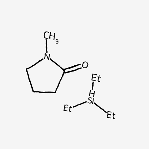 CC[SiH](CC)CC.CN1CCCC1=O